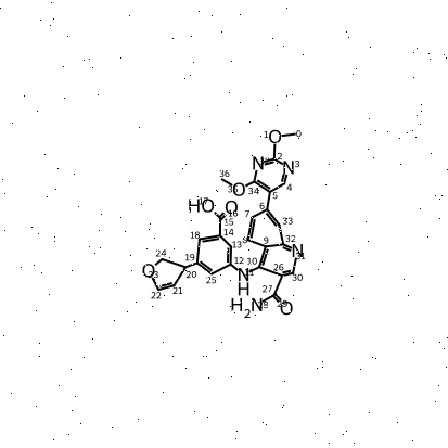 COc1ncc(-c2ccc3c(Nc4cc(C(=O)O)cc(C5C=COC5)c4)c(C(N)=O)cnc3c2)c(OC)n1